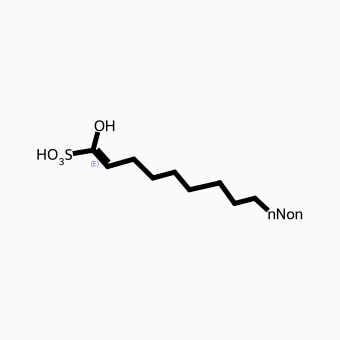 CCCCCCCCCCCCCCCC/C=C(\O)S(=O)(=O)O